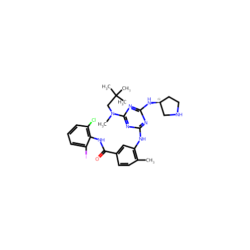 Cc1ccc(C(=O)Nc2c(Cl)cccc2I)cc1Nc1nc(N[C@H]2CCNC2)nc(N(C)CC(C)(C)C)n1